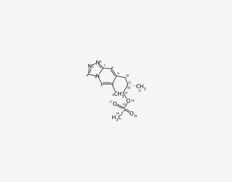 Cc1cn2cnnc2cc1C[C@H](C)COS(C)(=O)=O